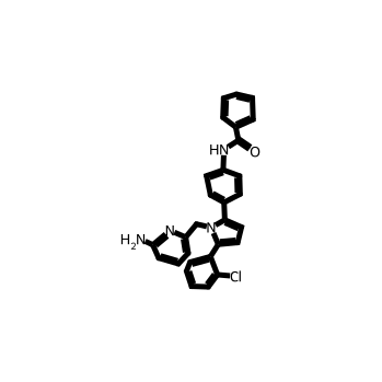 Nc1cccc(Cn2c(-c3ccc(NC(=O)c4ccccc4)cc3)ccc2-c2ccccc2Cl)n1